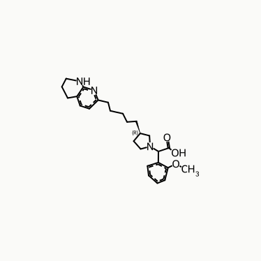 COc1ccccc1C(C(=O)O)N1CC[C@@H](CCCCCc2ccc3c(n2)NCCC3)C1